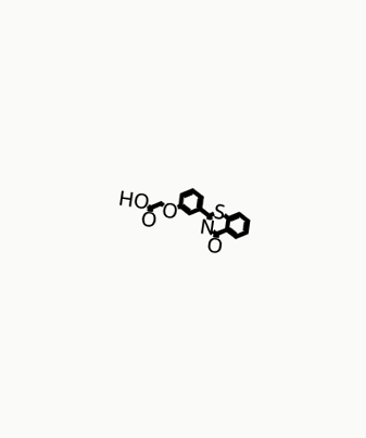 O=C(O)COc1cccc(-c2nc(=O)c3ccccc3s2)c1